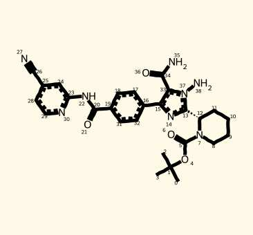 CC(C)(C)OC(=O)N1CCCC[C@H]1c1nc(-c2ccc(C(=O)Nc3cc(C#N)ccn3)cc2)c(C(N)=O)n1N